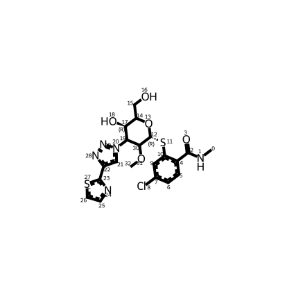 CNC(=O)c1ccc(Cl)cc1S[C@H]1OC(CO)[C@H](O)C(n2cc(-c3nccs3)nn2)C1OC